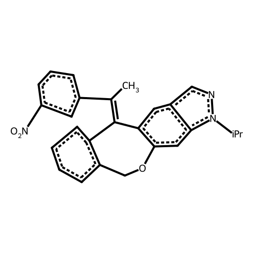 CC(=C1c2ccccc2COc2cc3c(cnn3C(C)C)cc21)c1cccc([N+](=O)[O-])c1